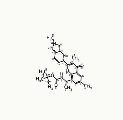 Cc1cc([C@@H](C)NC(=O)OC(C)(C)C)c2oc(-c3ccc4nn(C)cc4n3)c(C)c(=O)c2c1